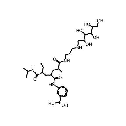 CCC(CC(CC(C)C(=O)NCCCNCC(O)C(O)C(O)C(O)CO)C(=O)Nc1cccc(B(O)O)c1)C(=O)NC(C)C